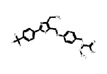 CCc1nc(-c2ccc(C(F)(F)F)cc2)sc1COc1ccc(C[C@@H](OC)C(=O)O)cc1